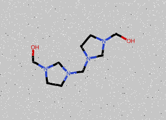 OCN1CCN(CN2CCN(CO)C2)C1